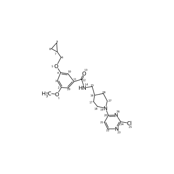 COc1cc(OCC2CC2)cc(C(=O)NCC2CCN(c3ccnc(Cl)n3)CC2)c1